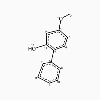 COc1c[c]c(-c2ccccc2)c(O)c1